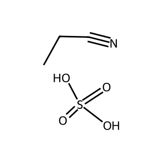 CCC#N.O=S(=O)(O)O